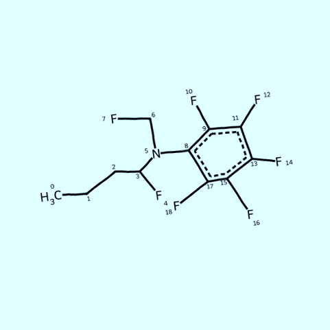 CCCC(F)N(CF)c1c(F)c(F)c(F)c(F)c1F